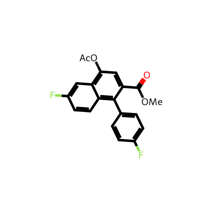 COC(=O)c1cc(OC(C)=O)c2cc(F)ccc2c1-c1ccc(F)cc1